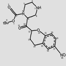 CC(C)(C)OC(=O)N1CCNCC1C(=O)C1CCc2cc([N+](=O)[O-])ccc2O1